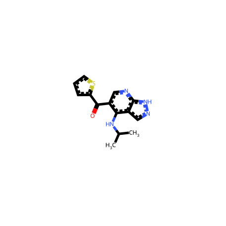 CC(C)Nc1c(C(=O)c2cccs2)cnc2[nH]ncc12